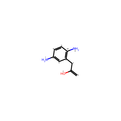 C=C(O)Cc1cc(N)ccc1N